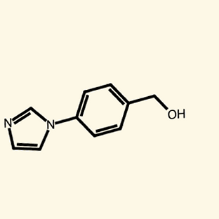 OCc1ccc(-n2ccnc2)cc1